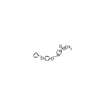 COC(=O)N1CCN(CCOc2ccc(OCc3ccccc3)cc2)CC1